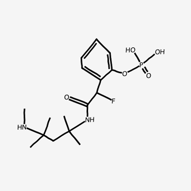 CNC(C)(C)CC(C)(C)NC(=O)C(F)c1ccccc1OP(=O)(O)O